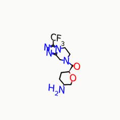 N[C@@H]1CC[C@@H](C(=O)N2CCn3c(nnc3C(F)(F)F)C2)OC1